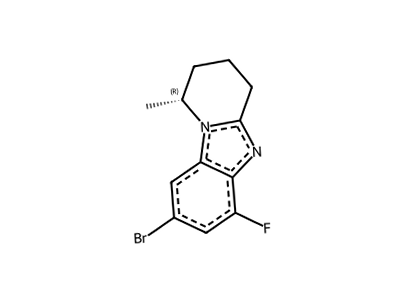 C[C@@H]1CCCc2nc3c(F)cc(Br)cc3n21